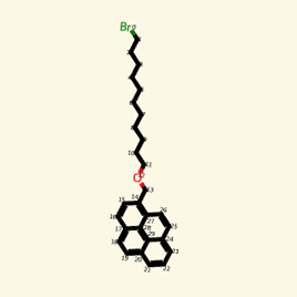 BrCCCCCCCCCCCOCc1ccc2ccc3cccc4ccc1c2c34